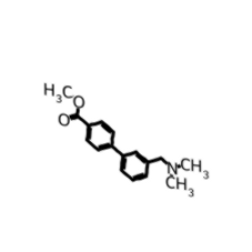 COC(=O)c1ccc(-c2cccc(CN(C)C)c2)cc1